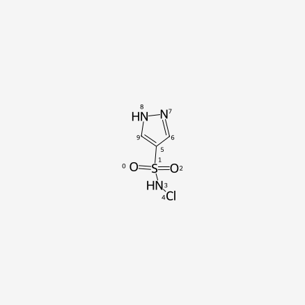 O=S(=O)(NCl)c1cn[nH]c1